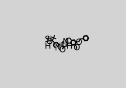 COc1cc2c(cc1OCc1ccccc1)CCN1C[C@@H](c3cc(C(O[SiH](C)C)C(C)(C)C)ccn3)C(=O)C[C@H]21